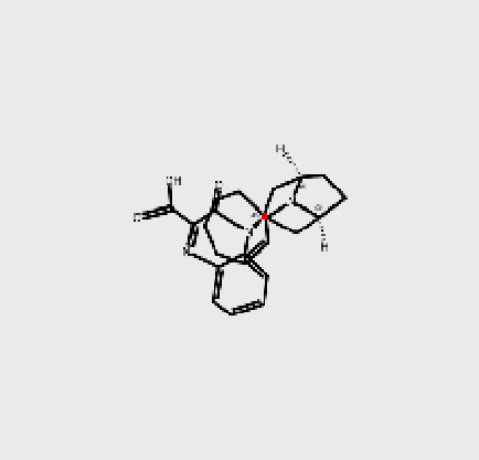 O=C(O)c1nc2ccccc2n([C@H]2C[C@H]3CC[C@@H](C2)N3C2C=CCCCC2)c1=O